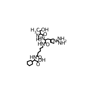 CC(O)C(N)C(=O)NC(CC1=CCN(C(=N)N)C1)C(=O)NCCCCC(=O)NC(C(=O)O)C1CCCCC1